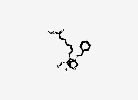 COC(=O)CCC/C=C\C[C@@H]1[C@@H](CBr)[C@H]2C[C@]1(CCc1ccccc1)CO2